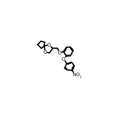 O=[N+]([O-])c1ccc(Oc2ccccc2OCC2COC3(CCCC3)O2)cc1